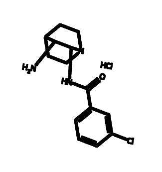 Cl.NC1C2CCN(CC2)C1NC(=O)c1cccc(Cl)c1